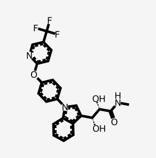 CNC(=O)[C@@H](O)[C@H](O)c1cn(-c2ccc(Oc3ccc(C(F)(F)F)cn3)cc2)c2ccccc12